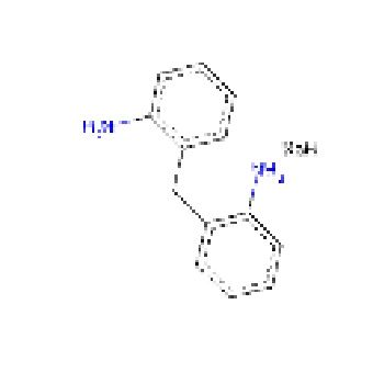 Nc1ccccc1Cc1ccccc1N.[NaH]